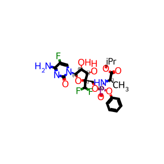 CC(C)OC(=O)[C@H](C)N[P@](=O)(OC[C@@]1(C(F)F)O[C@@H](n2cc(F)c(N)nc2=O)[C@H](O)[C@@H]1O)Oc1ccccc1